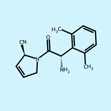 Cc1cccc(C)c1[C@H](N)C(=O)N1CC=C[C@H]1C#N